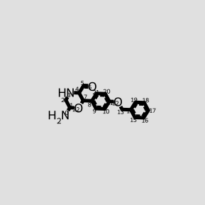 NC1CNC(C=O)C(c2ccc(OCc3ccccc3)cc2)O1